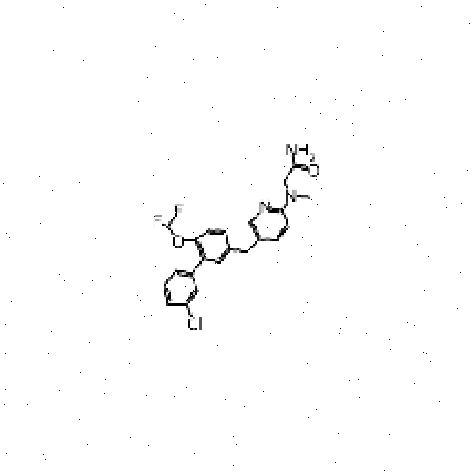 CN(CC(N)=O)c1ccc(Cc2ccc(OC(F)F)c(-c3cccc(Cl)c3)c2)cn1